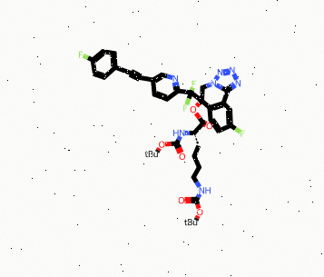 CC(C)(C)OC(=O)NCCCC[C@H](NC(=O)OC(C)(C)C)C(=O)OC1(C(F)(F)c2ccc(C#Cc3ccc(F)cc3)cn2)Cn2nnnc2-c2cc(F)ccc21